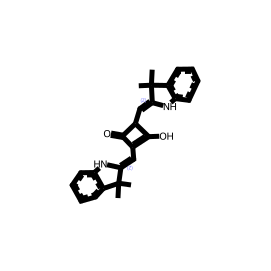 CC1(C)/C(=C/C2=C(O)C(/C=C3\Nc4ccccc4C3(C)C)C2=O)Nc2ccccc21